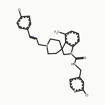 O=C(NCc1ccnc(Cl)c1)N1CC2(CCN(C/C=C/c3ccc(Cl)cc3)CC2)c2c1cccc2C(F)(F)F